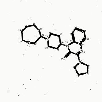 O=c1c(N2CCCC2)nc2ccccc2n1C1CCN(C2CCCCCCC2)CC1